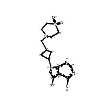 O=S1(=O)CCN(CC2CC(n3cc(Br)c4c(Cl)ncnc43)C2)CC1